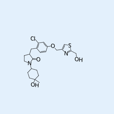 CC1(O)CCC(N2CCC(Cc3ccc(OCc4csc(CO)n4)cc3Cl)C2=O)CC1